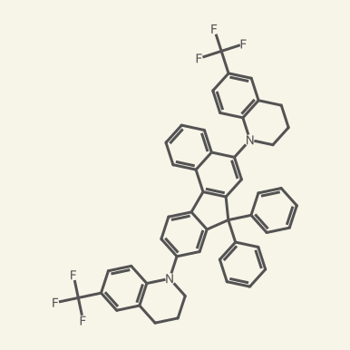 FC(F)(F)c1ccc2c(c1)CCCN2c1ccc2c(c1)C(c1ccccc1)(c1ccccc1)c1cc(N3CCCc4cc(C(F)(F)F)ccc43)c3ccccc3c1-2